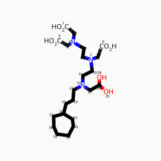 O=C(O)CN(CCN(CC(=O)O)CC(=O)O)CCN(CCCC1CCCCCC1)CC(O)O